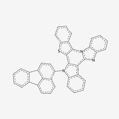 c1ccc2c(c1)-c1cccc3c(-n4c5ccccc5c5c4c4sc6ccccc6c4n4c6ccccc6nc54)ccc-2c13